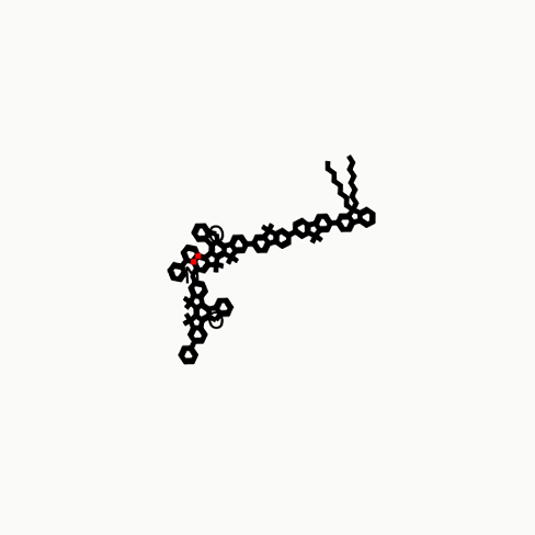 CCCCCCCCC1(CCCCCCCC)c2ccccc2-c2ccc(-c3ccc4c(c3)C(C)(C)c3cc(-c5ccc6c(c5)C(C)(C)c5cc(-c7ccc8c(c7)C(C)(C)c7c9c(c%10c(oc%11ccccc%11%10)c7-8)-c7ccc(N(c8ccc%10c(c8)C(C)(C)c8c%11c(c%12oc%13ccccc%13c%12c8-%10)-c8ccc(-c%10ccccc%10)cc8C%11(C)C)c8ccccc8-c8ccccc8)cc7C9(C)C)ccc5-6)ccc3-4)cc21